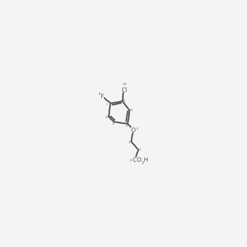 O=C(O)CCOc1ccc(F)c(Cl)c1